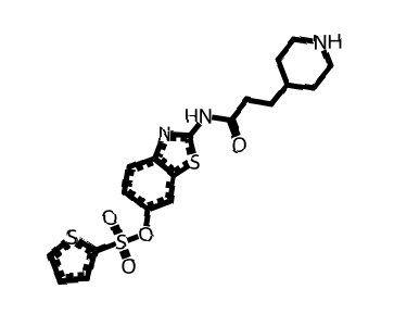 O=C(CCC1CCNCC1)Nc1nc2ccc(OS(=O)(=O)c3cccs3)cc2s1